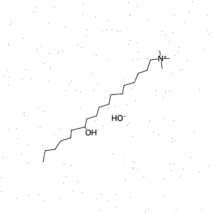 CCCCCCC(O)CCCCCCCCCCC[N+](C)(C)C.[OH-]